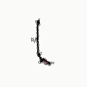 N/C(=C\N(N)CCOCCOCCOCCOCCC(=O)Oc1c(F)cc(F)cc1F)COCCOCCOCCOCCOc1ccc(C2CN(c3nc(Cl)nc4c3cnn4[C@@H]3O[C@H](COCP(=O)(O)O)[C@@H](O)[C@H]3O)C2)cc1Cl